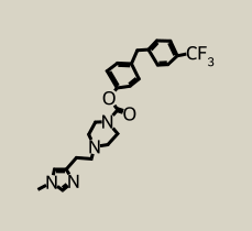 Cn1cnc(CCN2CCN(C(=O)Oc3ccc(Cc4ccc(C(F)(F)F)cc4)cc3)CC2)c1